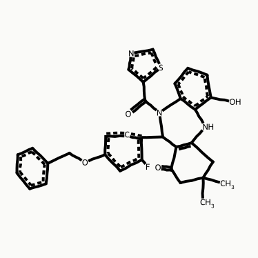 CC1(C)CC(=O)C2=C(C1)Nc1c(O)cccc1N(C(=O)c1cncs1)C2c1ccc(OCc2ccccc2)cc1F